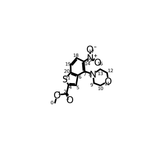 COC(=O)c1cc2c(N3CCOCC3)c([N+](=O)[O-])ccc2s1